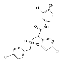 N#Cc1ccc(NC(=O)C(CS(=O)(=O)Cc2ccc(Cl)cc2)c2ccc(Cl)nc2)cc1Cl